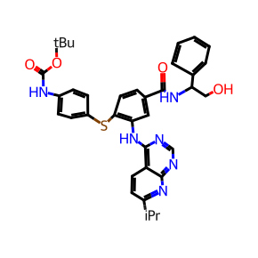 CC(C)c1ccc2c(Nc3cc(C(=O)NC(CO)c4ccccc4)ccc3Sc3ccc(NC(=O)OC(C)(C)C)cc3)ncnc2n1